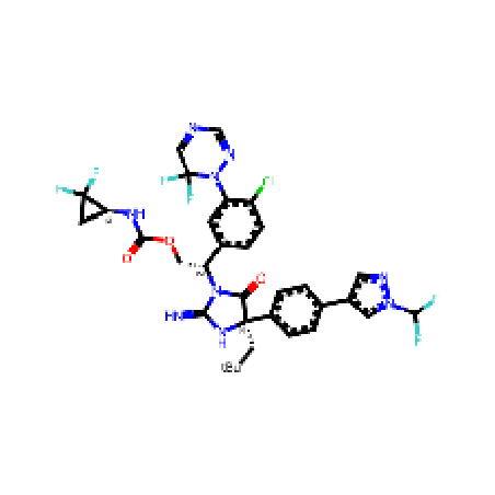 CC(C)(C)C[C@]1(c2ccc(-c3cnn(C(F)F)c3)cc2)NC(=N)N([C@H](COC(=O)N[C@H]2CC2(F)F)c2ccc(Cl)c(N3N=CN=CC3(F)F)c2)C1=O